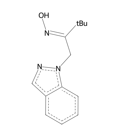 CC(C)(C)C(Cn1ncc2ccccc21)=NO